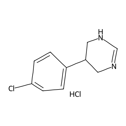 Cl.Clc1ccc(C2CN=CNC2)cc1